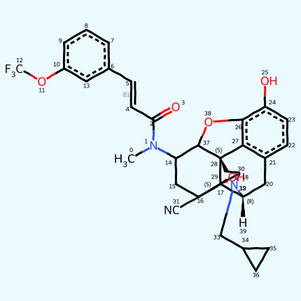 CN(C(=O)/C=C/c1cccc(OC(F)(F)F)c1)C1CC[C@@]2(O)[C@H]3Cc4ccc(O)c5c4[C@@]2(CC(C#N)N3CC2CC2)C1O5